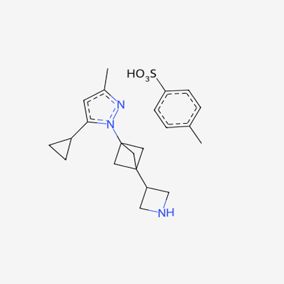 Cc1cc(C2CC2)n(C23CC(C4CNC4)(C2)C3)n1.Cc1ccc(S(=O)(=O)O)cc1